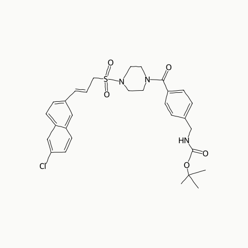 CC(C)(C)OC(=O)NCc1ccc(C(=O)N2CCN(S(=O)(=O)CC=Cc3ccc4cc(Cl)ccc4c3)CC2)cc1